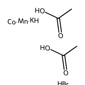 Br.CC(=O)O.CC(=O)O.[Co].[KH].[Mn]